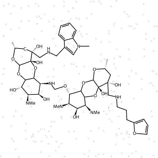 CN[C@@H]1[C@H](O)[C@H](NCO[C@@H]2C3OC4O[C@H](C)C[C@@](O)(CNCCCc5ccco5)[C@]4(O)OC3[C@@H](NC)[C@@H](O)[C@H]2NC)C2O[C@]3(O)C(OC2[C@H]1O)O[C@H](C)C[C@@]3(O)CNCc1cn(C)c2ccccc12